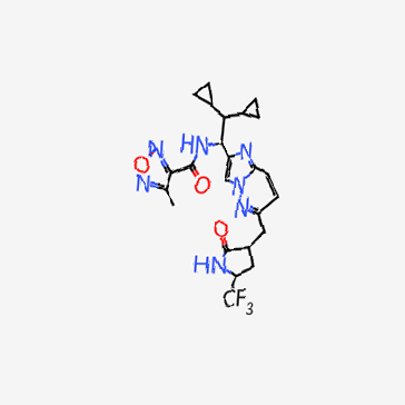 Cc1nonc1C(=O)N[C@H](c1cn2nc(C[C@H]3C[C@@H](C(F)(F)F)NC3=O)ccc2n1)C(C1CC1)C1CC1